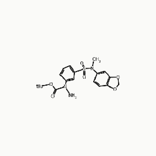 CN(c1ccc2c(c1)OCO2)S(=O)(=O)c1cccc(N(N)C(=O)OC(C)(C)C)c1